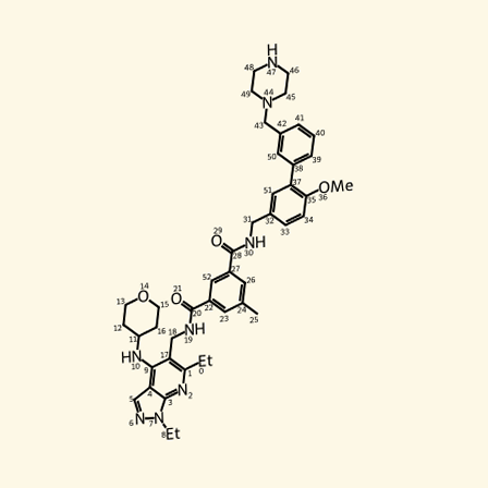 CCc1nc2c(cnn2CC)c(NC2CCOCC2)c1CNC(=O)c1cc(C)cc(C(=O)NCc2ccc(OC)c(-c3cccc(CN4CCNCC4)c3)c2)c1